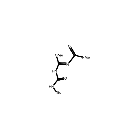 CCC(C)NC(=O)NC(=NC(=O)NC)OC